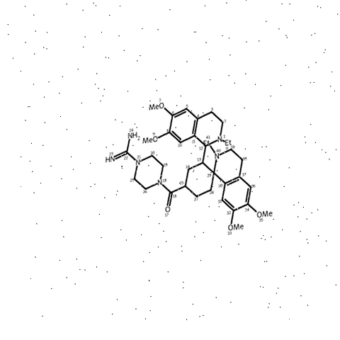 CCN1CCc2cc(OC)c(OC)cc2C1C1CC(C(=O)N2CCN(C(=N)N)CC2)CCC12c1cc(OC)c(OC)cc1CCN2CC